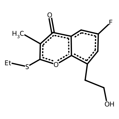 CCSc1oc2c(CCO)cc(F)cc2c(=O)c1C